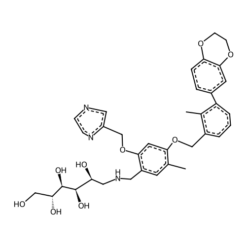 Cc1cc(CNC[C@H](O)[C@@H](O)[C@H](O)[C@H](O)CO)c(OCc2cnccn2)cc1OCc1cccc(-c2ccc3c(c2)OCCO3)c1C